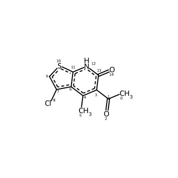 CC(=O)c1c(C)c2c(Cl)csc2[nH]c1=O